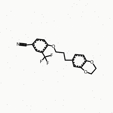 N#Cc1ccc(OCCCc2ccc3c(c2)OCCO3)c(C(F)(F)F)c1